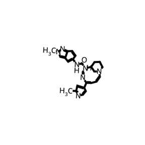 Cc1cc(C2=CC=CN3CCC[C@@H](C3)N(C(=O)Nc3ccc4nn(C)cc4c3)C=N2)ccn1